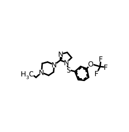 CCN1CCN(C2=NCCN2Sc2cccc(OC(F)(F)F)c2)CC1